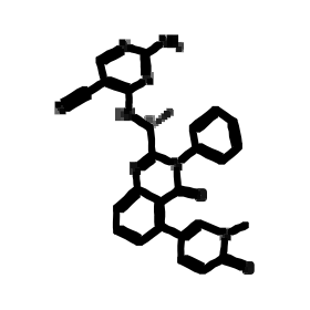 C[C@@H](Nc1nc(N)ncc1C#N)c1nc2cccc(-c3ccc(=O)n(C)c3)c2c(=O)n1-c1ccccc1